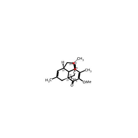 COC1=C(C)C(=O)C23[C@@H]4C=C(C)C[C@]2(C1=O)[C@@H](C)CC[C@@H]3[C@@H](C)C4